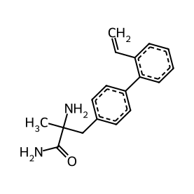 C=Cc1ccccc1-c1ccc(CC(C)(N)C(N)=O)cc1